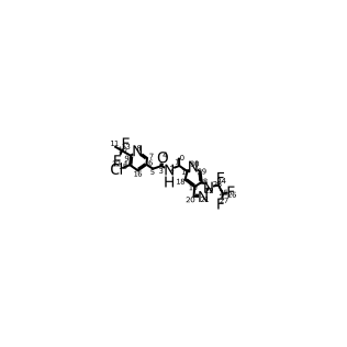 CC(NC(=O)Cc1cnc(C(C)(F)F)c(Cl)c1)c1cc2cnn(C(F)C(F)F)c2cn1